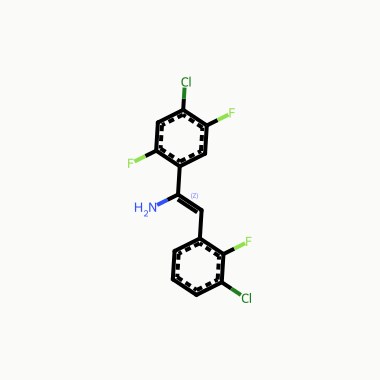 N/C(=C\c1cccc(Cl)c1F)c1cc(F)c(Cl)cc1F